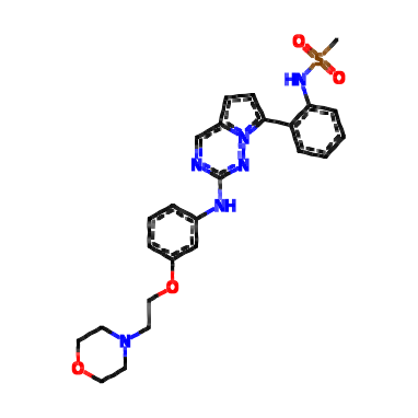 CS(=O)(=O)Nc1ccccc1-c1ccc2cnc(Nc3cccc(OCCN4CCOCC4)c3)nn12